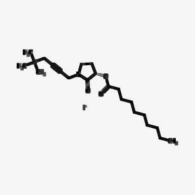 CCCCCCCCCC(=O)O[C@H]1CCN(CC#CC[N+](C)(C)C)C1=O.[I-]